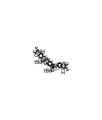 CC1Oc2ccc(CN(Cc3cccc(C[N+](C)(C(=O)OC(C)(C)C)c4ccc5c(c4)NC(=S)C(C)O5)c3)C(=O)OC(C)(C)C)cc2NC1=S